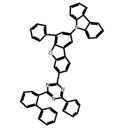 c1ccc(-c2nc(-c3ccc4c(c3)oc3c(-c5ccccc5)cc(-n5c6ccccc6c6ccccc65)cc34)nc(-c3ccccc3-c3ccccc3)n2)cc1